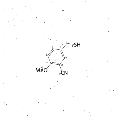 COc1ccc(CS)cc1C#N